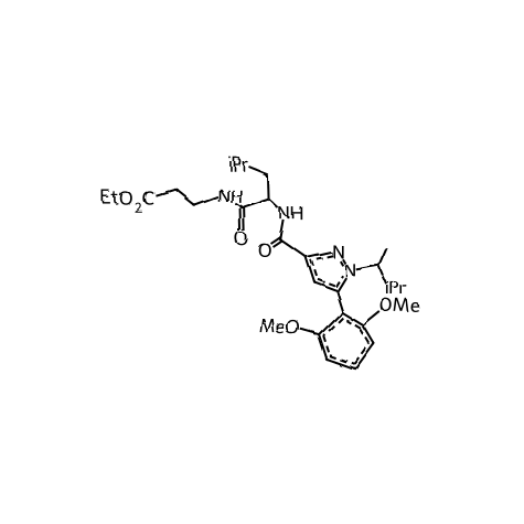 CCOC(=O)CCNC(=O)C(CC(C)C)NC(=O)c1cc(-c2c(OC)cccc2OC)n(C(C)C(C)C)n1